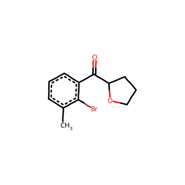 Cc1cccc(C(=O)C2CCCO2)c1Br